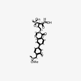 CON(C)Cc1ccc(-c2ccc3c(=O)n(CC[C@](C)(C(=O)NO)S(C)(=O)=O)cnc3c2)cc1F